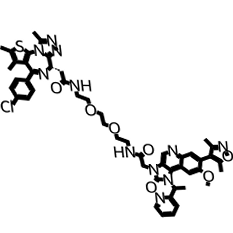 COc1cc2c(cc1-c1c(C)noc1C)ncc1c2n(C(C)c2ccccn2)c(=O)n1CC(=O)NCCOCCOCCNC(=O)C[C@@H]1N=C(c2ccc(Cl)cc2)c2c(sc(C)c2C)-n2c(C)nnc21